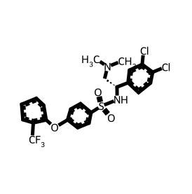 CN(C)C[C@@H](NS(=O)(=O)c1ccc(Oc2ccccc2C(F)(F)F)cc1)c1ccc(Cl)c(Cl)c1